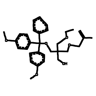 C=C(C)COCC(CO)(COCC)COC(c1ccccc1)(c1ccc(OC)cc1)c1ccc(OC)cc1